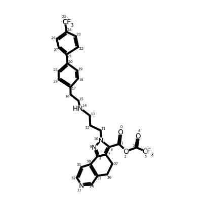 O=C(OC(=O)C(F)(F)F)c1c2c(nn1CCCNCCc1ccc(-c3ccc(C(F)(F)F)cc3)cc1)-c1ccncc1CC2